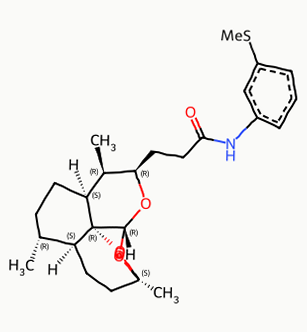 CSc1cccc(NC(=O)CC[C@H]2O[C@@H]3O[C@]4(C)CC[C@H]5[C@H](C)CC[C@@H]([C@H]2C)[C@@]35OO4)c1